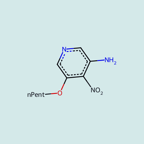 CCCCCOc1cncc(N)c1[N+](=O)[O-]